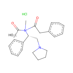 C[N+](C(=O)Cc1ccccc1)(C(=O)C(=O)O)[C@H](CN1CCCC1)c1ccccc1.Cl